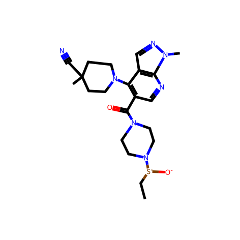 CC[S+]([O-])N1CCN(C(=O)c2cnc3c(cnn3C)c2N2CCC(C)(C#N)CC2)CC1